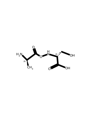 C[C@@H](N)C(=O)ON[C@H](CO)C(=O)O